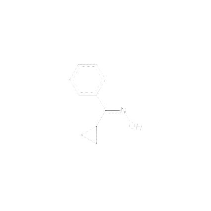 ON=C(c1ccccc1)C1CC1